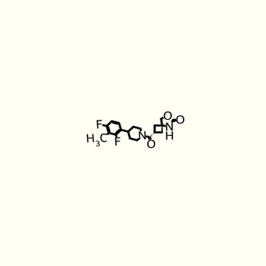 Cc1c(F)ccc(C2CCN(C(=O)[C@H]3C[C@]4(COC(=O)N4)C3)CC2)c1F